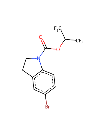 O=C(OC(C(F)(F)F)C(F)(F)F)N1CCc2cc(Br)ccc21